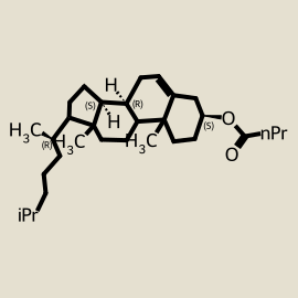 CCCC(=O)O[C@H]1CCC2(C)C(=CC[C@H]3C2CCC2(C)C([C@H](C)CCCC(C)C)CC[C@@H]32)C1